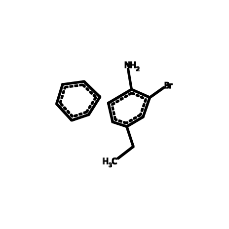 CCc1ccc(N)c(Br)c1.c1ccccc1